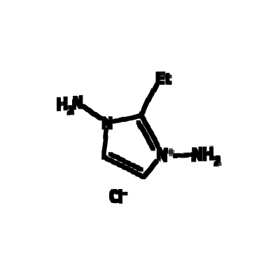 CCc1n(N)cc[n+]1N.[Cl-]